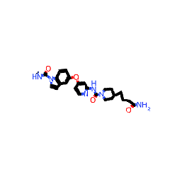 CNC(=O)n1ccc2cc(Oc3ccnc(NC(=O)N4CCC(CCCC(N)=O)CC4)c3)ccc21